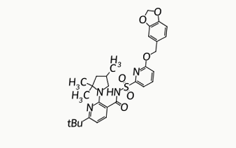 CC1CN(c2nc(C(C)(C)C)ccc2C(=O)NS(=O)(=O)c2cccc(OCc3ccc4c(c3)OCO4)n2)C(C)(C)C1